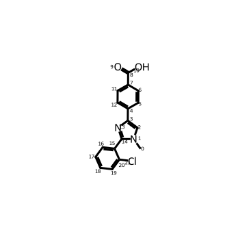 Cn1cc(-c2ccc(C(=O)O)cc2)nc1-c1ccccc1Cl